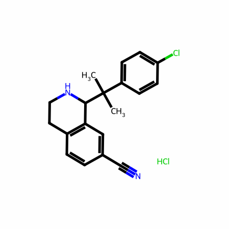 CC(C)(c1ccc(Cl)cc1)C1NCCc2ccc(C#N)cc21.Cl